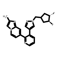 Cc1cn2ccc(-c3ncccc3-c3cnn(CC4C[C@H](F)[C@@H](F)C4)c3)cc2n1